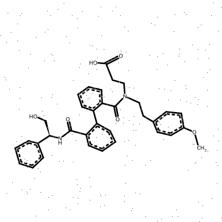 COc1ccc(CCN(CCC(=O)O)C(=O)c2ccccc2-c2ccccc2C(=O)N[C@H](CO)c2ccccc2)cc1